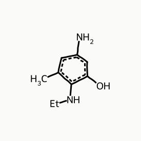 CCNc1c(C)cc(N)cc1O